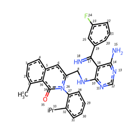 Cc1cccc2cc(CNc3ncnc(N)c3C(=N)c3cccc(F)c3)n(-c3ccccc3C(C)C)c(=O)c12